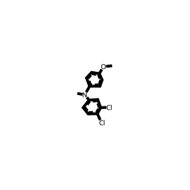 COc1ccc(N(C)c2ccc(Cl)c(Cl)c2)cc1